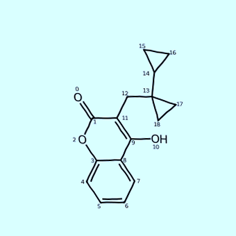 O=c1oc2ccccc2c(O)c1CC1(C2CC2)CC1